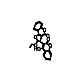 CCOC1Oc2c(c(=O)oc3ccccc23)C1c1c(O)c2ccccc2oc1=O